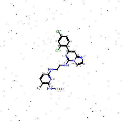 CC(=O)c1ccc(NCCNc2nc(-c3ccc(Cl)cc3Cl)cc3nccn23)nc1NC(=O)O